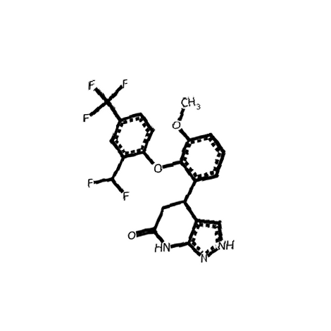 COc1cccc(C2CC(=O)Nc3n[nH]cc32)c1Oc1ccc(C(F)(F)F)cc1C(F)F